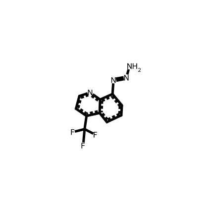 NN=Nc1cccc2c(C(F)(F)F)ccnc12